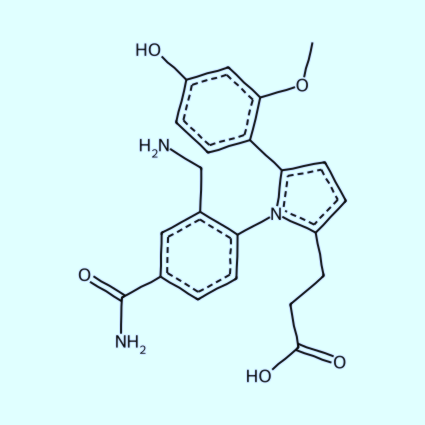 COc1cc(O)ccc1-c1ccc(CCC(=O)O)n1-c1ccc(C(N)=O)cc1CN